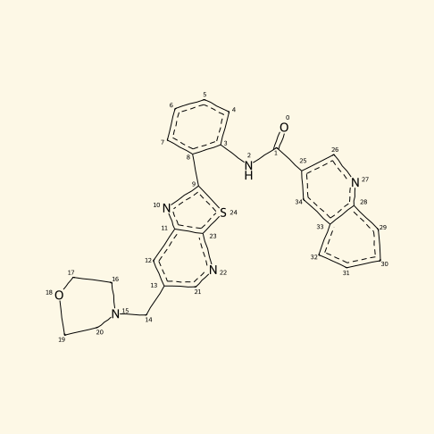 O=C(Nc1ccccc1-c1nc2cc(CN3CCOCC3)cnc2s1)c1cnc2ccccc2c1